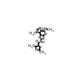 CNc1nc2sc(NC(=O)c3cc(C)oc3C)nc2c2c1ncn2C